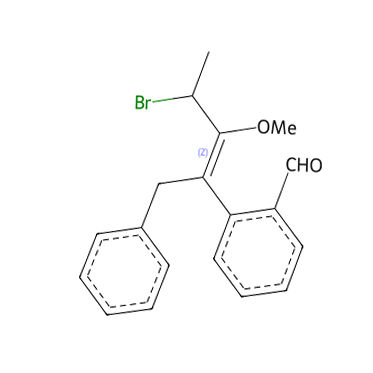 CO/C(=C(/Cc1ccccc1)c1ccccc1C=O)C(C)Br